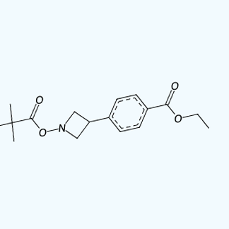 CCOC(=O)c1ccc(C2CN(OC(=O)C(C)(C)C)C2)cc1